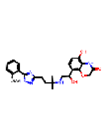 COc1ccccc1-c1nc(CCC(C)(C)NCC(O)c2ccc(O)c3c2OCC(=O)N3)n[nH]1